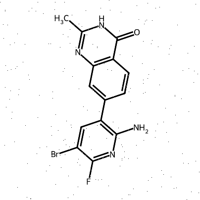 Cc1nc2cc(-c3cc(Br)c(F)nc3N)ccc2c(=O)[nH]1